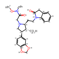 CCCON(CCC)C(=O)CN1C[C@H](c2ccc3c(c2)OCO3)[C@@H](C(=O)O)[C@@H]1CCN1C(=O)Cc2ccccc21